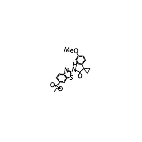 COc1ccc(C2(C(=O)Nc3nc4ccc(S(C)(=O)=O)cc4s3)CC2)cc1